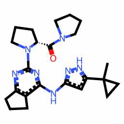 CC1(c2cc(Nc3nc(N4CCC[C@@H]4C(=O)N4CCCC4)nc4c3CCC4)n[nH]2)CC1